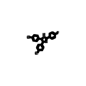 Fc1ccc(C2=NC(c3ccc(Cl)cc3)C(c3ccc(Cl)cc3)N2)cc1